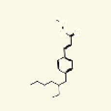 CCCCC(CC)Cc1ccc(C=CC(=O)OOC)cc1